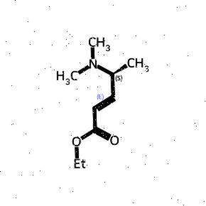 CCOC(=O)/C=C/[C@H](C)N(C)C